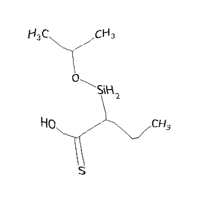 CCC([SiH2]OC(C)C)C(O)=S